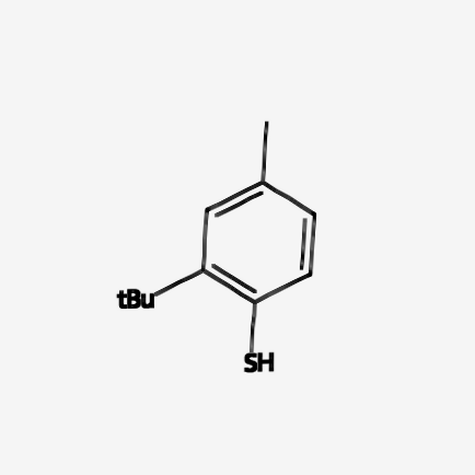 Cc1ccc(S)c(C(C)(C)C)c1